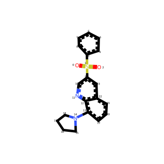 O=S(=O)(c1ccccc1)c1cnc2c(N3CCCC3)cccc2c1